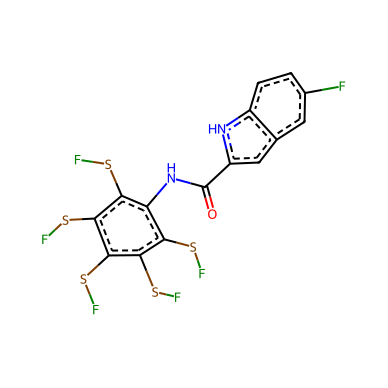 O=C(Nc1c(SF)c(SF)c(SF)c(SF)c1SF)c1cc2cc(F)ccc2[nH]1